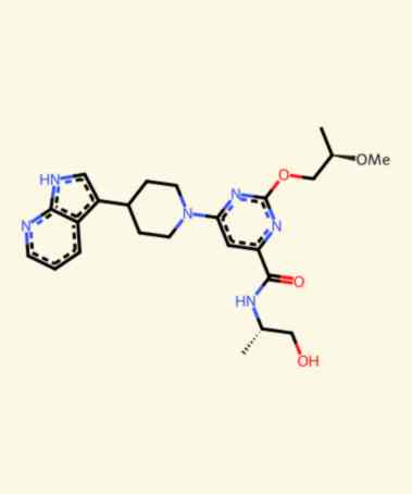 CO[C@H](C)COc1nc(C(=O)N[C@@H](C)CO)cc(N2CCC(c3c[nH]c4ncccc34)CC2)n1